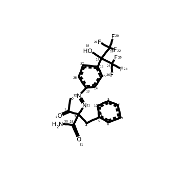 CC(=O)C(Cc1ccccc1)(/N=N/c1ccc(C(O)(C(F)(F)F)C(F)(F)F)cc1)C(N)=O